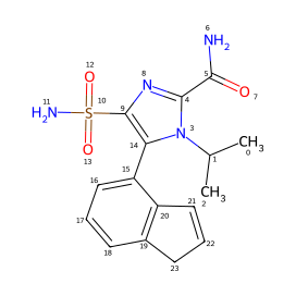 CC(C)n1c(C(N)=O)nc(S(N)(=O)=O)c1-c1cccc2c1C=CC2